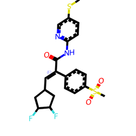 CSc1ccc(NC(=O)/C(=C/C2CC(F)C(F)C2)c2ccc(S(C)(=O)=O)cc2)nc1